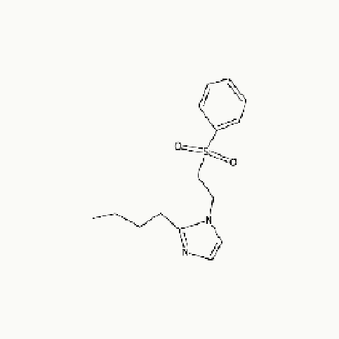 CCCCc1nccn1CCS(=O)(=O)c1ccccc1